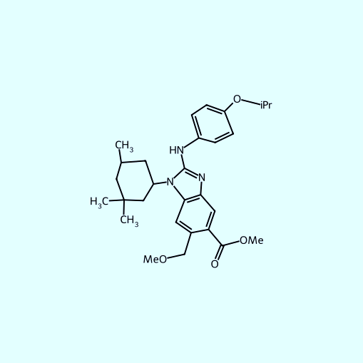 COCc1cc2c(cc1C(=O)OC)nc(Nc1ccc(OC(C)C)cc1)n2C1CC(C)CC(C)(C)C1